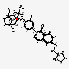 Cc1cc(-n2ccc3cc(OC[C@H]4CCCO4)ccc3c2=O)ccc1O[C@H]1C[C@H]2CC[C@@H](C1)N2CC(C)(C)O